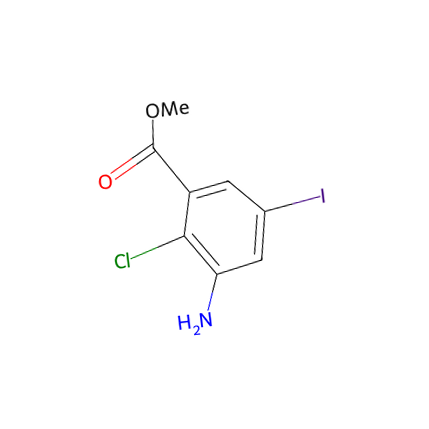 COC(=O)c1cc(I)cc(N)c1Cl